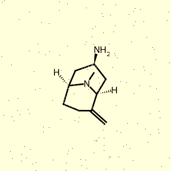 C=C1CC[C@H]2C[C@@H](N)C[C@@H]1N2C